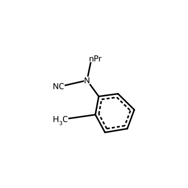 CCCN(C#N)c1ccccc1C